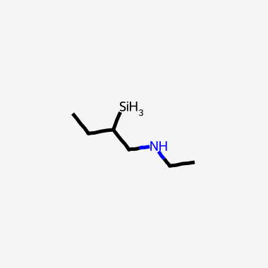 CCNCC([SiH3])CC